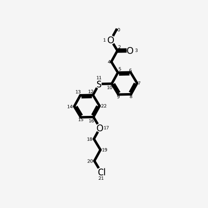 COC(=O)Cc1ccccc1Sc1cccc(OCCCCl)c1